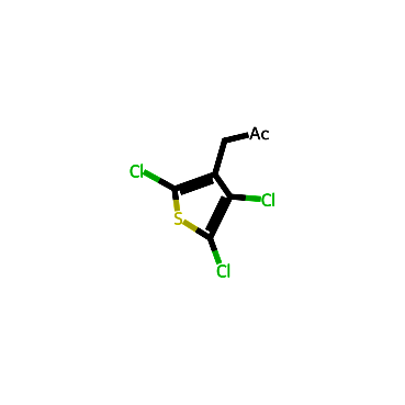 CC(=O)Cc1c(Cl)sc(Cl)c1Cl